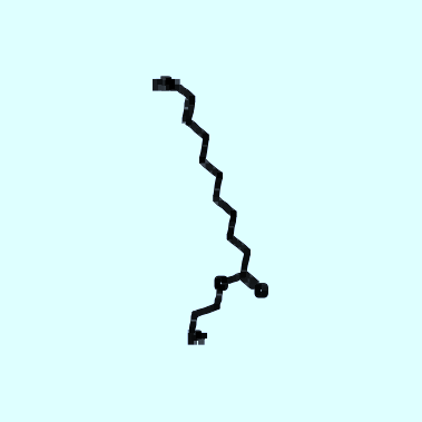 CCCCC=CCCCCCCCC(=O)OCCC(C)C